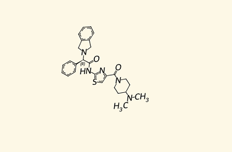 CN(C)C1CCN(C(=O)c2csc(NC(=O)[C@@H](c3ccccc3)N3Cc4ccccc4C3)n2)CC1